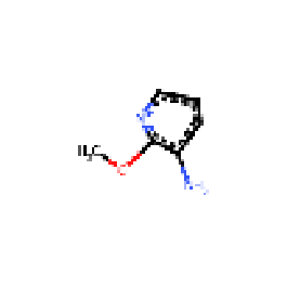 COc1n[c]ccc1N